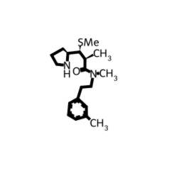 CS[C@@H]([C@@H]1CCCN1)[C@@H](C)C(=O)N(C)CCc1cccc(C)c1